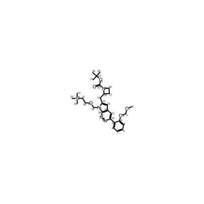 COCOc1ccccc1-c1cc2cc(CC3CCN3C(=O)OC(C)(C)C)n(COCC[Si](C)(C)C)c2nn1